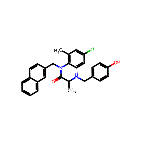 Cc1cc(Cl)ccc1N(Cc1ccc2ccccc2c1)C(=O)C(C)NCc1ccc(O)cc1